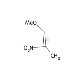 CO/C=C(/C)[N+](=O)[O-]